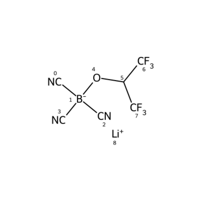 N#C[B-](C#N)(C#N)OC(C(F)(F)F)C(F)(F)F.[Li+]